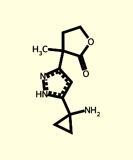 CC1(c2cc(C3(N)CC3)[nH]n2)CCOC1=O